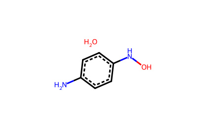 Nc1ccc(NO)cc1.O